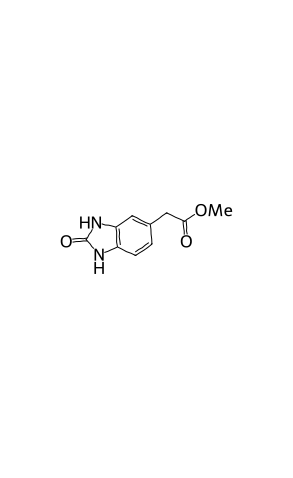 COC(=O)Cc1ccc2[nH]c(=O)[nH]c2c1